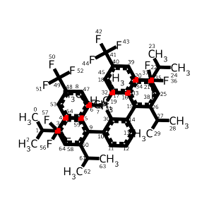 CC(C)c1cc(C(C)C)c(-c2cccc(-c3c(C(C)C)cc(C(C)C)cc3C(C)C)c2P(c2cc(C(F)(F)F)cc(C(F)(F)F)c2)c2cc(C(F)(F)F)cc(C(F)(F)F)c2)c(C(C)C)c1